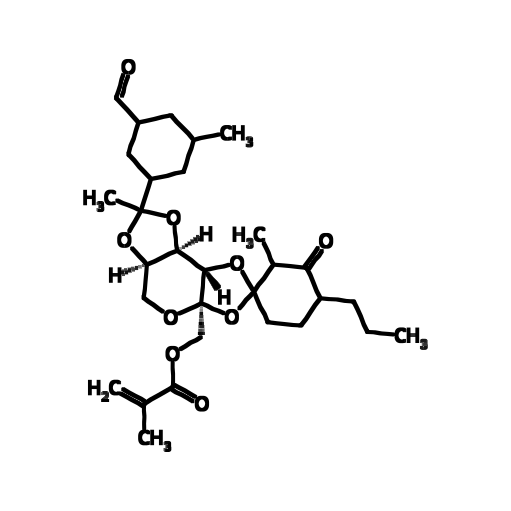 C=C(C)C(=O)OC[C@]12OC[C@H]3OC(C)(C4CC(C)CC(C=O)C4)O[C@H]3[C@@H]1OC1(CCC(CCC)C(=O)C1C)O2